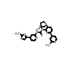 Cc1cc(-c2ccc3c(n2)N(C(=O)Nc2cc(-c4cnc(C)o4)ccn2)[C@@H]2CCN3C2)ccn1